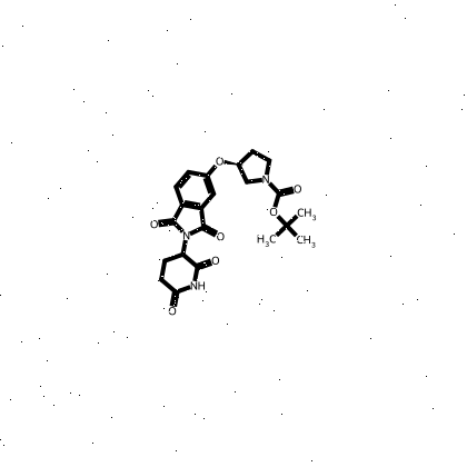 CC(C)(C)OC(=O)N1CC[C@H](Oc2ccc3c(c2)C(=O)N(C2CCC(=O)NC2=O)C3=O)C1